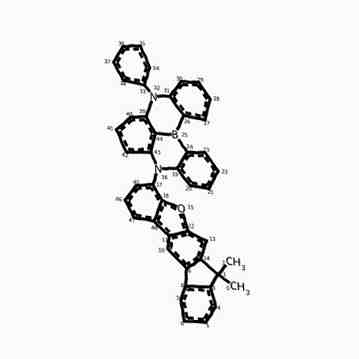 CC1(C)c2ccccc2-c2cc3c(cc21)oc1c(N2c4ccccc4B4c5ccccc5N(c5ccccc5)c5cccc2c54)cccc13